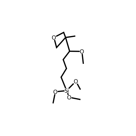 COC(CCC[Si](OC)(OC)OC)C1(C)COC1